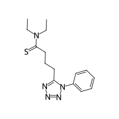 CCN(CC)C(=S)CCCc1nnnn1-c1ccccc1